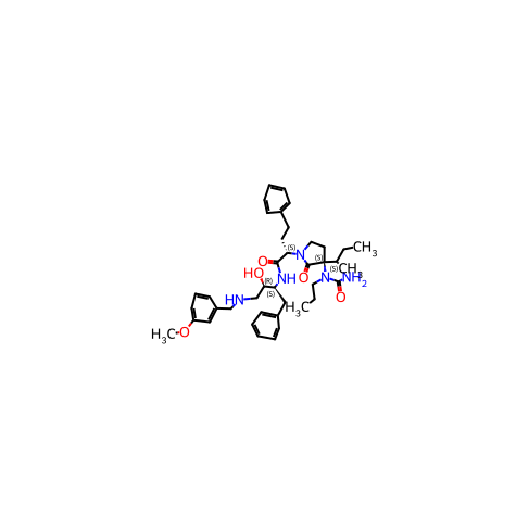 CCCN(C(N)=O)[C@]1([C@@H](C)CC)CCN([C@@H](CCc2ccccc2)C(=O)N[C@@H](Cc2ccccc2)[C@H](O)CNCc2cccc(OC)c2)C1=O